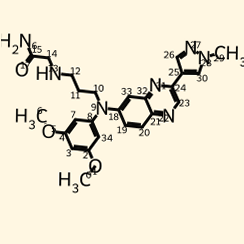 COc1cc(OC)cc(N(CCCNCC(N)=O)c2ccc3ncc(-c4cnn(C)c4)nc3c2)c1